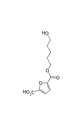 O=C(O)c1ccc(C(=O)OCCCCCO)o1